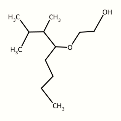 CCCCC(OCCO)C(C)C(C)C